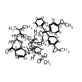 COc1ccc(C(OCC[C@@]23CN(S(C)(=O)=O)[C@@H]([C@H](n4cnc5c(=O)[nH]c(NC(=O)C(C)C)nc54)O2)[C@@H]3O[Si](C)(C)C)(c2ccccc2)c2ccc(OC)cc2)cc1